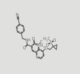 Cn1c(=O)c(C(=O)NCc2ccc(C#N)cc2)cc2nccc(OCC3(S(C)(=O)=O)CC3)c21